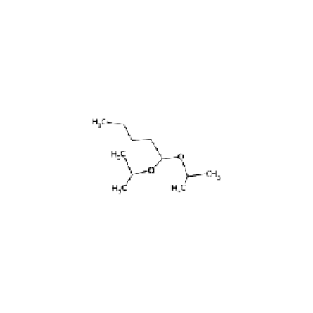 CCCCC(OC(C)C)OC(C)C